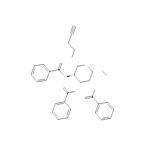 C#CCCO[C@@H]1O[C@H](CO)[C@H](OC(=O)c2ccccc2)[C@H](OC(=O)c2ccccc2)[C@H]1OC(=O)c1ccccc1